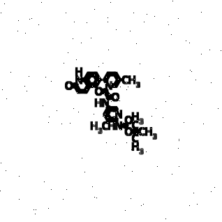 Cc1cc(NC(=O)C(=O)N2C[C@H](C)CC[C@H]2c2ccc3c(c2)CCC(=O)N3)cnc1NC(=O)OC(C)(C)C